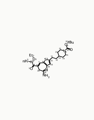 CCCN(OCC)C(=O)C1=Cc2sc(CCC3CCN(C(=O)OC(C)(C)C)CC3)cc2N=C(N)C1